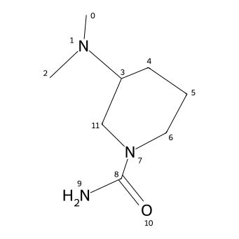 CN(C)C1CCCN(C(N)=O)C1